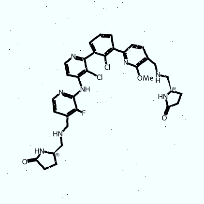 COc1nc(-c2cccc(-c3nccc(Nc4nccc(CNC[C@H]5CCC(=O)N5)c4F)c3Cl)c2Cl)ccc1CNC[C@H]1CCC(=O)N1